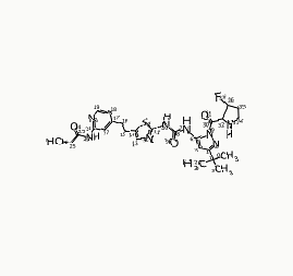 CC(C)(C)c1cc(NC(=O)Nc2ncc(CCc3ccnc(NC(=O)CO)c3)s2)n(C(=O)C2NCCC2F)n1